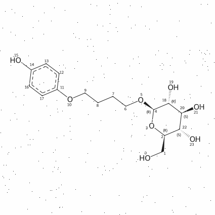 OC[C@H]1O[C@@H](OCCCCOc2ccc(O)cc2)[C@H](O)[C@@H](O)[C@@H]1O